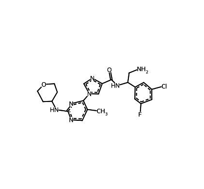 Cc1cnc(NC2CCOCC2)nc1-n1cnc(C(=O)NC(CN)c2cc(F)cc(Cl)c2)c1